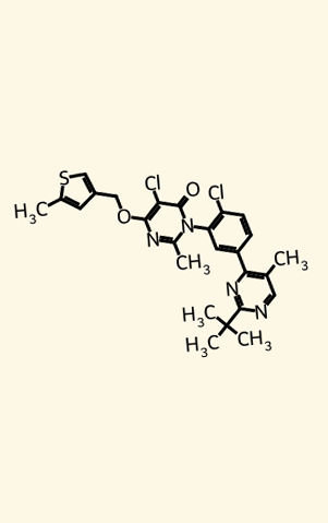 Cc1cc(COc2nc(C)n(-c3cc(-c4nc(C(C)(C)C)ncc4C)ccc3Cl)c(=O)c2Cl)cs1